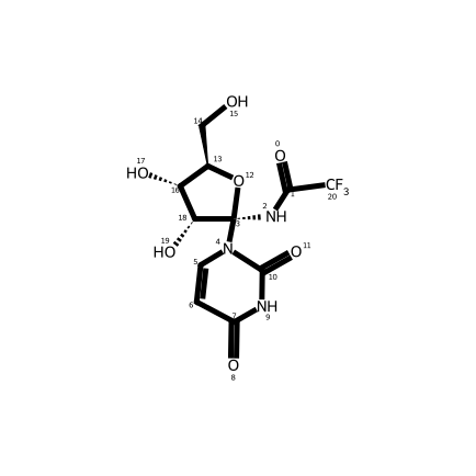 O=C(N[C@@]1(n2ccc(=O)[nH]c2=O)O[C@H](CO)[C@@H](O)[C@H]1O)C(F)(F)F